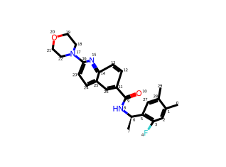 Cc1cc(F)c([C@@H](C)NC(=O)c2ccc3nc(N4CCOCC4)ccc3c2)cc1C